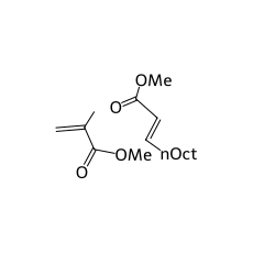 C=C(C)C(=O)OC.CCCCCCCCC=CC(=O)OC